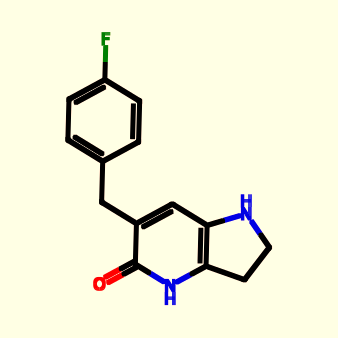 O=c1[nH]c2c(cc1Cc1ccc(F)cc1)NCC2